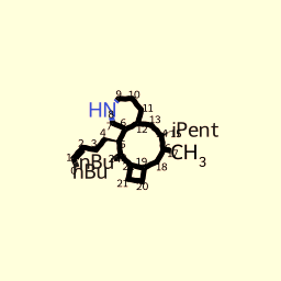 CCCC/C=C\CC[C@H]1C2CNCCCC2CC([C@@H](C)CCC)C(C)CC2CCC2C1CCCC